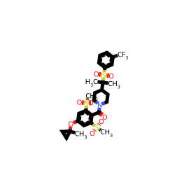 CC1(Oc2cc(S(C)(=O)=O)c(C(=O)N3CCC(C(C)(C)S(=O)(=O)c4cccc(C(F)(F)F)c4)CC3)c(S(C)(=O)=O)c2)CC1